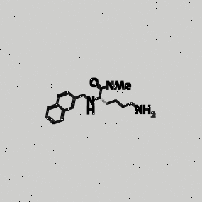 CNC(=O)[C@H](CCCCN)NCc1ccc2ccccc2c1